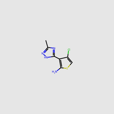 Cc1n[nH]c(-c2c(Cl)csc2N)n1